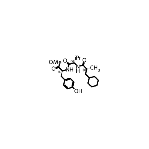 COC(=O)[C@H](Cc1ccc(O)cc1)NC(=O)[C@@H](NC(=O)[C@H](C)CC1CCCCC1)C(C)C